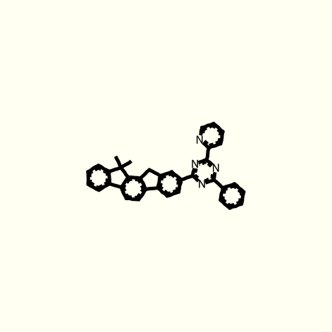 CC1(C)c2ccccc2-c2ccc3c(c21)Cc1cc(-c2nc(-c4ccccc4)nc(-c4ccccn4)n2)ccc1-3